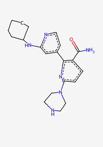 NC(=O)c1ccc(N2CCNCC2)nc1-c1ccnc(NC2CCCCC2)c1